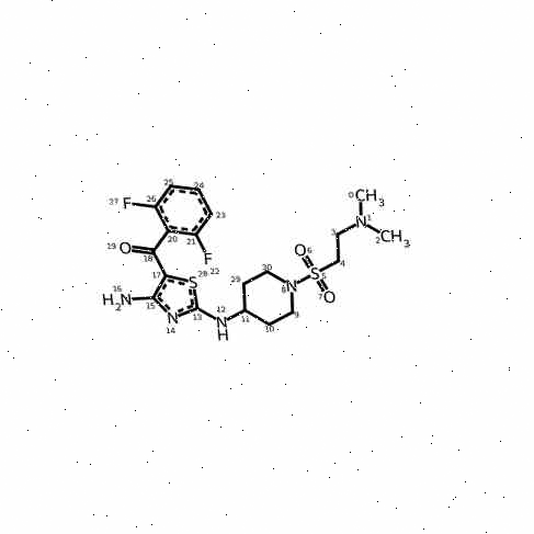 CN(C)CCS(=O)(=O)N1CCC(Nc2nc(N)c(C(=O)c3c(F)cccc3F)s2)CC1